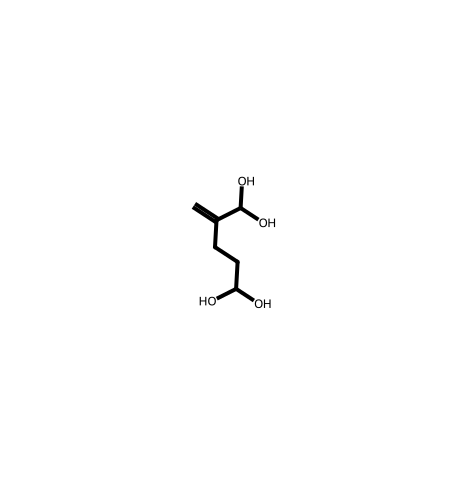 C=C(CCC(O)O)C(O)O